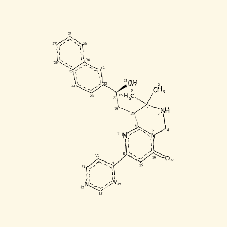 CC1(C)NCn2c(nc(-c3ccncn3)cc2=O)C1C[C@H](O)c1ccc2ccccc2c1